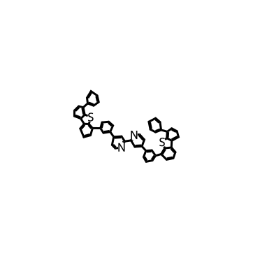 c1ccc(-c2cccc3c2sc2c(-c4cccc(-c5ccnc(-c6cc(-c7cccc(-c8cccc9c8sc8c(-c%10ccccc%10)cccc89)c7)ccn6)c5)c4)cccc23)cc1